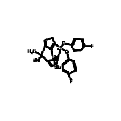 CC(C)(C)C1=[C]2CC=C1C(C)(C(C)(C)C)C1=CC[C](=C1C(C)(C)C)[Zr]2([O]c1ccc(F)cc1)[O]c1ccc(F)cc1